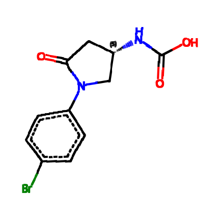 O=C(O)N[C@H]1CC(=O)N(c2ccc(Br)cc2)C1